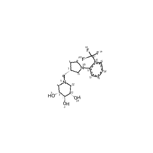 OC1[C@H](O)CN(C[C@@H]2CCN(c3ccccc3C(F)(F)F)C2)C[C@@H]1O